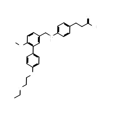 CCOCCOc1ccc(-c2cc(CNc3ccc(CCC(=O)O)cc3)ccc2OC)cc1